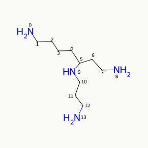 NCCCCC(CCN)NCCCN